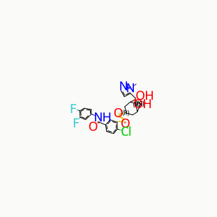 C[C@H]1CC2C[C@@H](S(=O)(=O)c3cc(C(=O)Nc4ccc(F)c(F)c4)ccc3Cl)CC1[C@@]2(O)C(O)c1ccnn1C